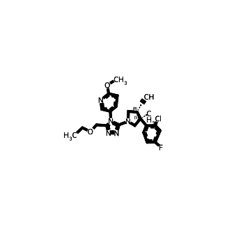 C#C[C@H]1CN(c2nnc(COCC)n2-c2ccc(OC)nc2)C[C@]1(C)c1ccc(F)cc1Cl